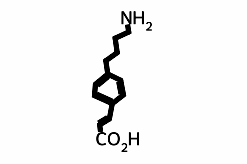 NCCCCc1ccc(C=CC(=O)O)cc1